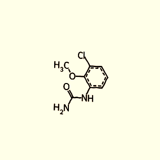 COc1c(Cl)cccc1NC(N)=O